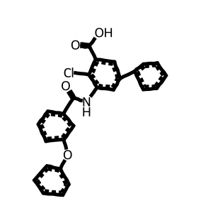 O=C(Nc1cc(-c2ccccc2)cc(C(=O)O)c1Cl)c1cccc(Oc2ccccc2)c1